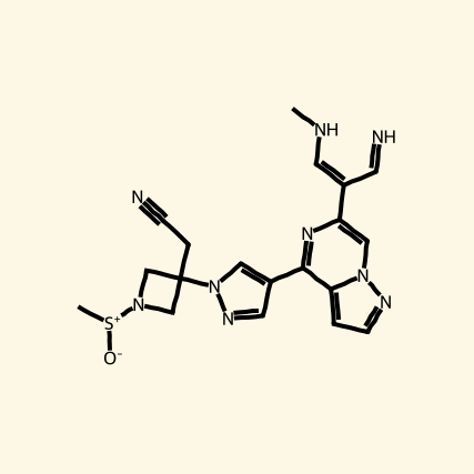 CN/C=C(\C=N)c1cn2nccc2c(-c2cnn(C3(CC#N)CN([S+](C)[O-])C3)c2)n1